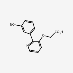 N#Cc1cccc(-c2ncccc2OCC(=O)O)c1